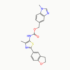 Cc1nc(-c2ccc3c(c2)CCO3)sc1NC(=O)OCc1ccc2c(c1)ncn2C